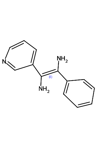 N/C(=C(/N)c1cccnc1)c1ccccc1